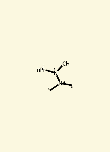 CCCN(Cl)N(C)C